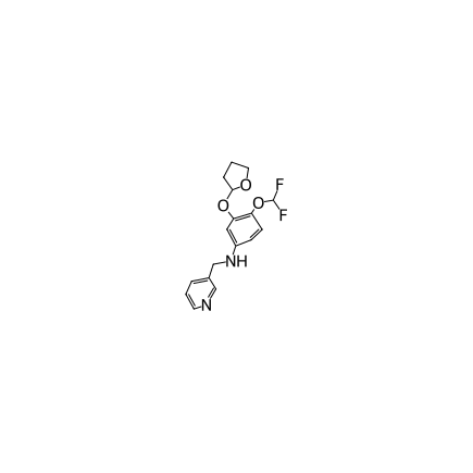 FC(F)Oc1ccc(NCc2cccnc2)cc1OC1CCCO1